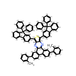 Cc1ccccc1-c1ccc2c3ccc(-c4ccccc4C)cc3c3nc4c(-c5ccc6c(c5)C(c5ccccc5)(c5ccccc5)c5ccccc5-6)sc(-c5ccc6c(c5)C(c5ccccc5)(c5ccccc5)c5ccccc5-6)c4nc3c2c1